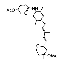 COC1(C)CCO[C@H](/C=C/C(C)=C/C[C@@H]2S[C@H](C)[C@H](NC(=O)/C=C\[C@H](C)OC(C)=O)CC2C)C1